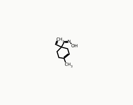 C=CC1(/C=N\O)CC=C(C)CC1